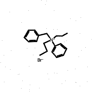 CCC[N+](CCC)(Cc1ccccc1)c1ccccc1.[Br-]